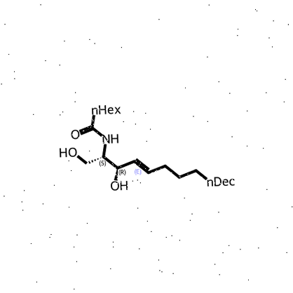 CCCCCCCCCCCCC/C=C/[C@@H](O)[C@H](CO)NC(=O)CCCCCC